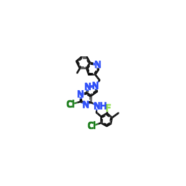 Cc1ccc(Cl)c(CNc2nc(Cl)nc3nn(Cc4cnc5cccc(C)c5c4)cc23)c1F